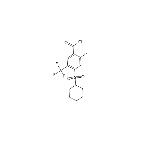 Cc1cc(S(=O)(=O)C2CCCCC2)c(C(F)(F)F)cc1C(=O)Cl